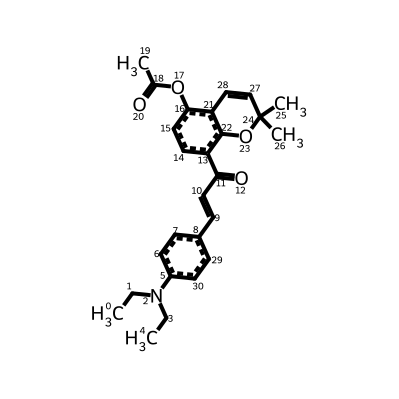 CCN(CC)c1ccc(C=CC(=O)c2ccc(OC(C)=O)c3c2OC(C)(C)C=C3)cc1